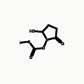 O=C(ON1C(=O)CCC1O)SI